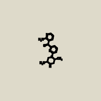 CC1CN(c2cccc(C(=O)c3cccnc3N)n2)C(C)CN1